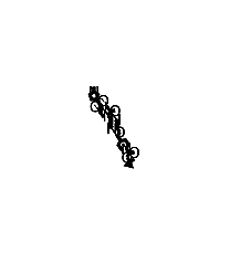 CN1CCC(S(=O)(=O)N2CCN(c3cnc(OCC4CCN(C(=O)OC5(C)CC5)CC4)cn3)C(=O)C2)C1